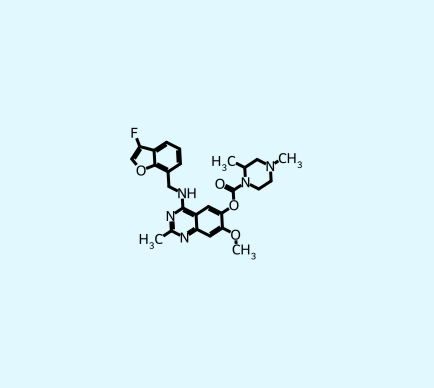 COc1cc2nc(C)nc(NCc3cccc4c(F)coc34)c2cc1OC(=O)N1CCN(C)CC1C